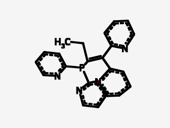 CCC(=C(c1ccccn1)c1ccccn1)P(c1ccccn1)c1ccccn1